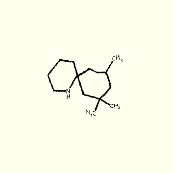 CC1CC(C)(C)CC2(CCCCN2)C1